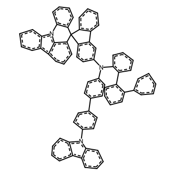 c1ccc(-c2ccccc2-c2ccccc2N(c2ccc(-c3ccc(-n4c5ccccc5c5ccccc54)cc3)cc2)c2ccc3c(c2)-c2ccccc2C32c3ccccc3-n3c4ccccc4c4cccc2c43)cc1